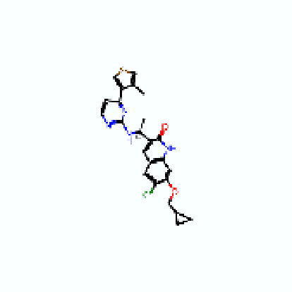 Cc1cscc1-c1ccnc(N[C@@H](C)c2cc3cc(Cl)c(OCC4CC4)cc3[nH]c2=O)n1